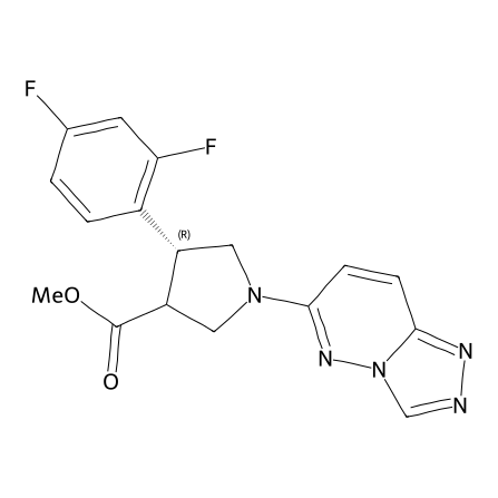 COC(=O)C1CN(c2ccc3nncn3n2)C[C@H]1c1ccc(F)cc1F